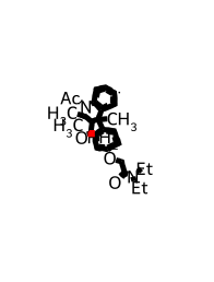 CCN(CC)C(=O)COc1ccc(C2(C)c3c[c]ccc3N(C(C)=O)C(C)(C)C2C(N)=O)cc1